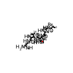 C=C(Br)C(=O)Nc1n[nH]c(C(=O)Nc2c(C)n[nH]c2C(=O)Nc2c(C)c[nH]c2C(=O)NCCC(=N)N)n1.Cl